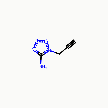 C#CCn1nnnc1N